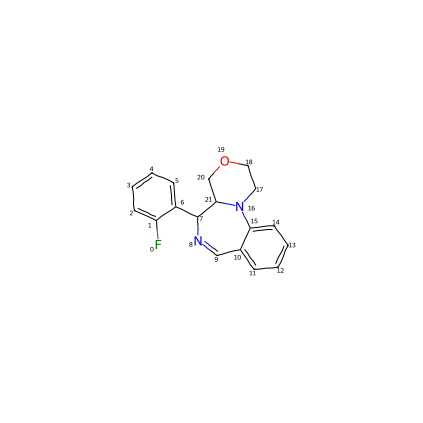 Fc1ccccc1C1N=Cc2ccccc2N2CCOCC12